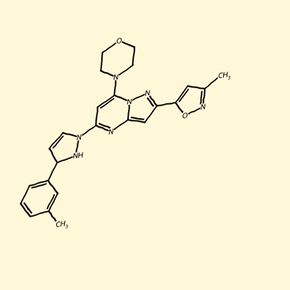 Cc1cccc(C2C=CN(c3cc(N4CCOCC4)n4nc(-c5cc(C)no5)cc4n3)N2)c1